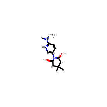 CN(C(=O)O)c1ccc(N2C(=O)CC(C)(C)CC2=O)cn1